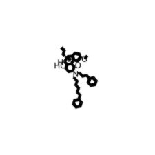 C=CCN1CC[C@]23c4c5ccc(OC)c4OC2C(N(CCCCCCc2ccccc2)CCCc2ccccc2)CC[C@@]3(O)[C@H]1C5